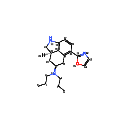 CCCN(CCC)[C@@H]1Cc2c(-c3ncco3)ccc3c2[C@H](CN3)C1